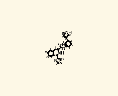 O=C(Nc1cccc(-c2cn[nH]c2)c1)[C@H](Cc1ccccc1)NCc1cscn1